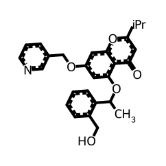 CC(C)c1cc(=O)c2c(OC(C)c3ccccc3CO)cc(OCc3cccnc3)cc2o1